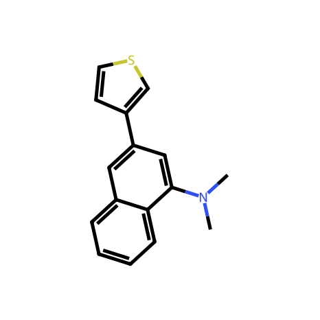 CN(C)c1cc(-c2ccsc2)cc2ccccc12